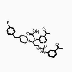 CC(=O)c1cccc(NC(=O)NCCC(N2CCC(Cc3ccc(F)cc3)CC2)N(C(=O)O)c2cccc(C(C)=O)c2)c1